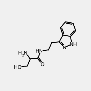 NC(CO)C(=O)NCCc1n[nH]c2ccccc12